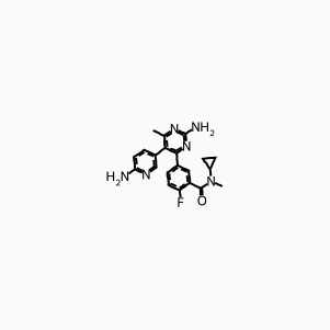 Cc1nc(N)nc(-c2ccc(F)c(C(=O)N(C)C3CC3)c2)c1-c1ccc(N)nc1